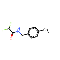 [CH2]c1ccc(CNC(=O)C(F)F)cc1